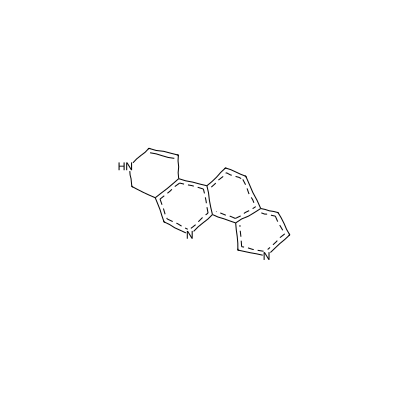 C1=Cc2c(cnc3c2ccc2ccncc23)CN1